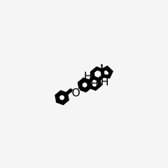 C[C@@]12C=CC[C@H]1[C@@H]1CCc3cc(OCc4ccccc4)ccc3[C@H]1CC2